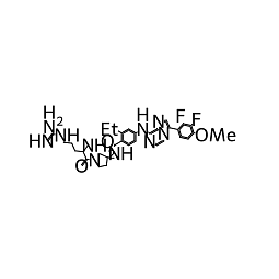 CCc1cc(Nc2nccn3c(-c4ccc(OC)c(F)c4F)cnc23)ccc1C(=O)N[C@@H]1CCN(C(=O)C(N)CCCNC(=N)N)C1